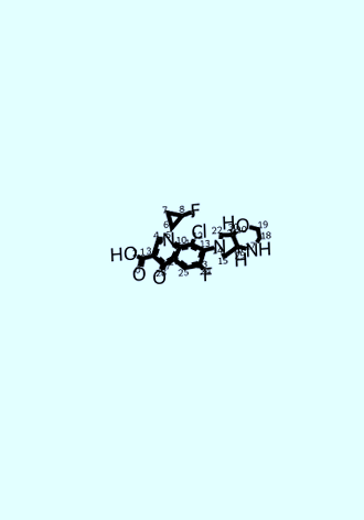 O=C(O)c1cn([C@@H]2CC2F)c2c(Cl)c(N3C[C@@H]4NCCO[C@@H]4C3)c(F)cc2c1=O